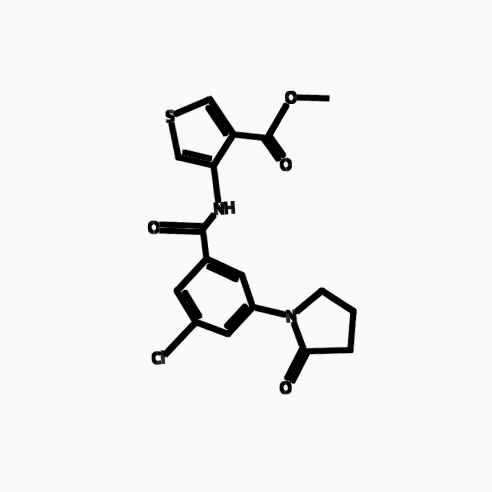 COC(=O)c1cscc1NC(=O)c1cc(Cl)cc(N2CCCC2=O)c1